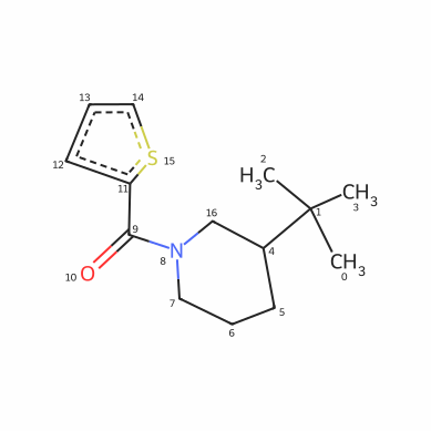 CC(C)(C)C1CCCN(C(=O)c2cccs2)C1